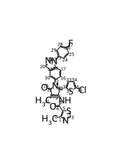 Cc1ncsc1C(=O)N[C@H]1[C@H](C)C(=O)N(c2ccc3c(cnn3-c3ccc(F)cc3)c2)[C@@H]1c1ccc(Cl)s1